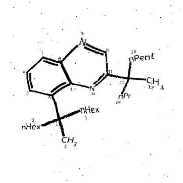 CCCCCCC(C)(CCCCCC)c1cccc2ncc(C(C)(CCC)CCCCC)nc12